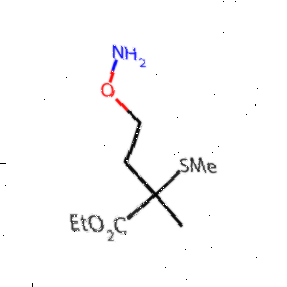 CCOC(=O)C(C)(CCON)SC